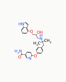 CC(C)(Cc1ccc(Oc2ccc(C(N)=O)cn2)cc1)NCC(O)COc1cccc2[nH]ccc12